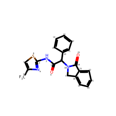 O=C(Nc1nc(C(F)(F)F)cs1)C(c1ccccc1)N1Cc2ccccc2C1=O